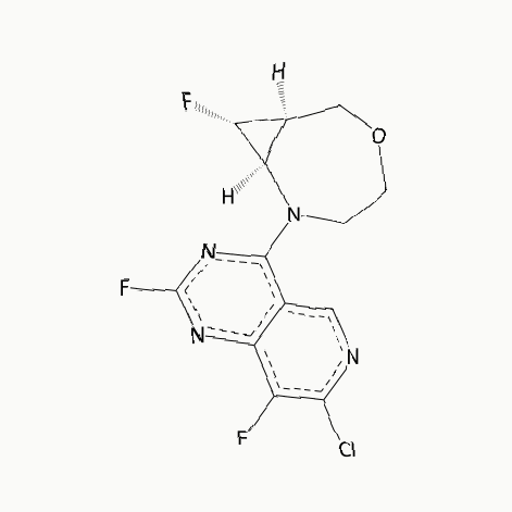 Fc1nc(N2CCOC[C@@H]3[C@@H](F)[C@@H]32)c2cnc(Cl)c(F)c2n1